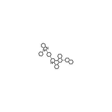 c1ccc(-n2c(-c3ccc(-c4cnc5c6ccccc6c6cc(-c7ccc8ccccc8c7)c7ccccc7c6c5c4)cc3)nc3ccccc32)cc1